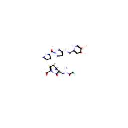 C[C@@H](NC(=O)C(F)F)[C@@]1(C)C(=O)N2C(C(=O)O)=C(S[C@@H]3CN[C@H](C(=O)N4CC[C@H](NCc5cc(=O)c(O)cn5C)C4)C3)[C@H](C)[C@]21C